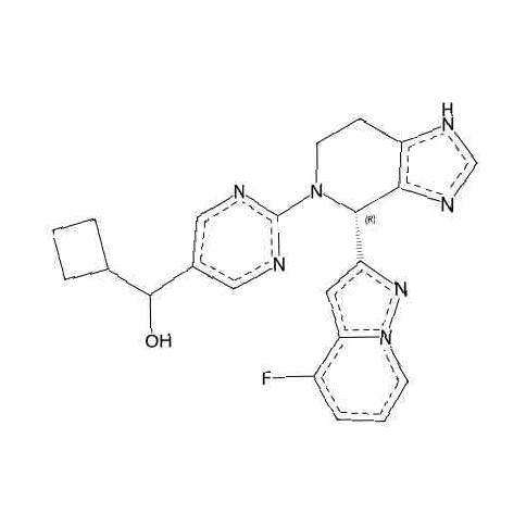 OC(c1cnc(N2CCc3[nH]cnc3[C@@H]2c2cc3c(F)cccn3n2)nc1)C1CCC1